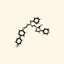 O=C1N(CCN(CCOc2ccc(-c3ccc(Cl)cc3)cc2)Cc2ccccc2)CCN1c1ccncc1